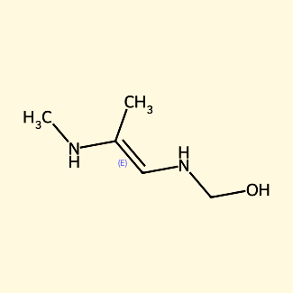 CN/C(C)=C/NCO